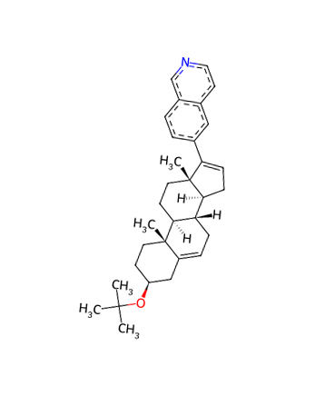 CC(C)(C)O[C@H]1CC[C@@]2(C)C(=CC[C@@H]3[C@@H]2CC[C@]2(C)C(c4ccc5cnccc5c4)=CC[C@@H]32)C1